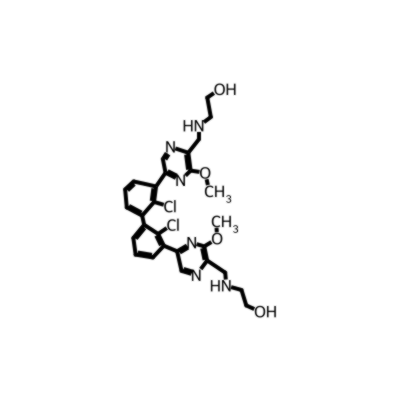 COc1nc(-c2cccc(-c3cccc(-c4cnc(CNCCO)c(OC)n4)c3Cl)c2Cl)cnc1CNCCO